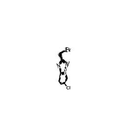 Clc1ccc2nc(CBr)nn2c1